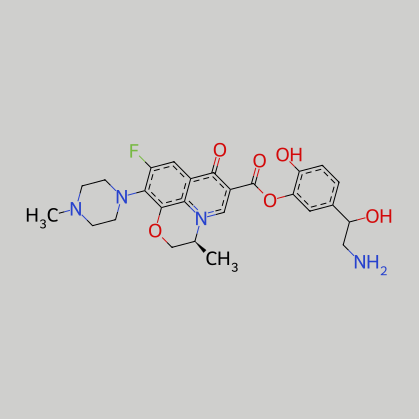 C[C@H]1COc2c(N3CCN(C)CC3)c(F)cc3c(=O)c(C(=O)Oc4cc(C(O)CN)ccc4O)cn1c23